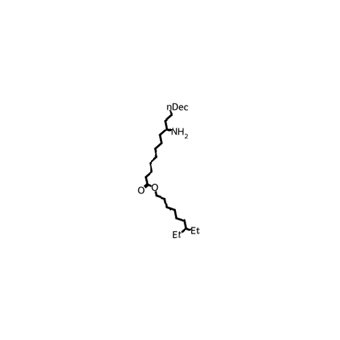 CCCCCCCCCCCCC(N)CCCCCCCC(=O)OCCCCCCC(CC)CC